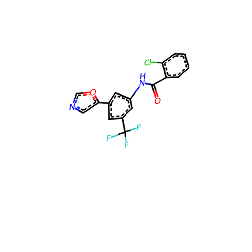 O=C(Nc1cc(-c2cnco2)cc(C(F)(F)F)c1)c1ccccc1Cl